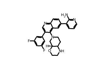 Nc1ncccc1-c1ccc2ncc(-c3cc(F)cc(F)c3)c(N3CCC4NCCO[C@@H]4C3)c2c1